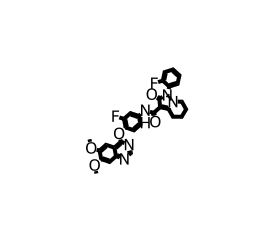 COc1cc2ncnc(Oc3ccc(NC(=O)c4c5n(n(-c6ccccc6F)c4=O)CCCC5)cc3F)c2cc1OC